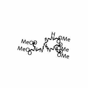 COC(=O)CCNCCN(C)CCN(CCN(C)CCN(CCC(=O)OC)CCC(=O)OC)CCN(C)CCN(CCC(=O)OC)CCC(=O)OC